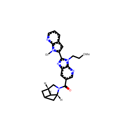 CCn1c(-c2nc3cc(C(=O)N4C[C@H]5CC6C[C@@H]4[C@H]65)cnc3n2CCOC)cc2cccnc21